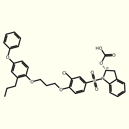 CCCc1cc(Oc2ccccc2)ccc1OCCCOc1ccc(S(=O)(=O)N2c3ccccc3C[C@H]2OC(=O)O)cc1Cl